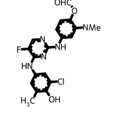 CNc1cc(Nc2ncc(F)c(Nc3cc(C)c(O)c(Cl)c3)n2)ccc1OC=O